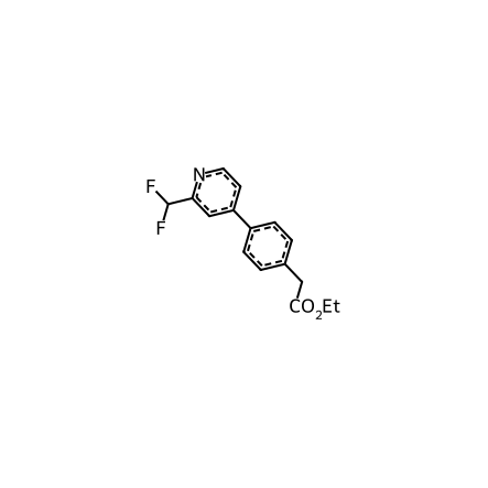 CCOC(=O)Cc1ccc(-c2ccnc(C(F)F)c2)cc1